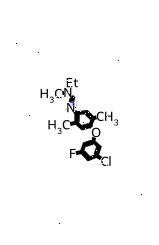 CCN(C)/C=N/c1cc(C)c(Oc2cc(F)cc(Cl)c2)cc1C